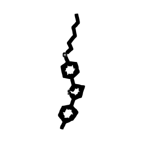 CCCCCCOc1ccc(-c2ccc(-c3ccc(C)cc3)s2)cc1